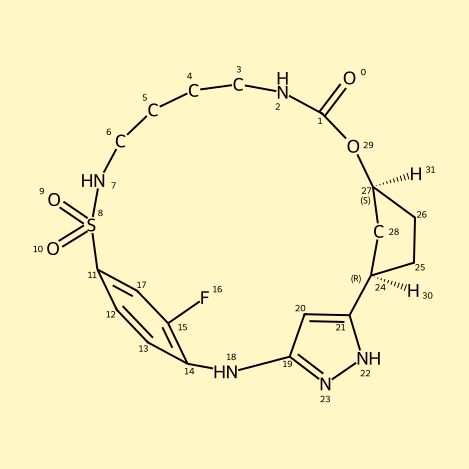 O=C1NCCCCNS(=O)(=O)c2ccc(c(F)c2)Nc2cc([nH]n2)[C@@H]2CC[C@@H](C2)O1